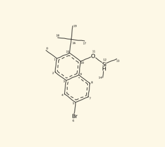 Cc1cc2cc(Br)ccc2c(O[SiH](C)C)c1C(C)(C)C